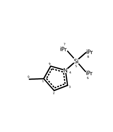 Cc1ccn([Si](C(C)C)(C(C)C)C(C)C)c1